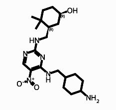 CC1(C)CC[C@@H](O)C[C@H]1CNc1ncc([N+](=O)[O-])c(NCC2CCC(N)CC2)n1